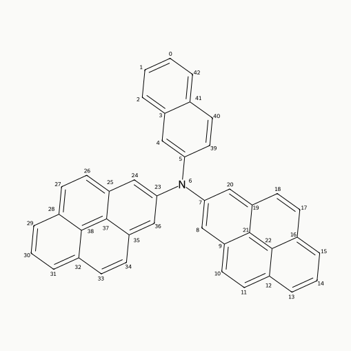 c1ccc2cc(N(c3cc4ccc5cccc6ccc(c3)c4c56)c3cc4ccc5cccc6ccc(c3)c4c56)ccc2c1